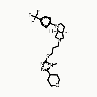 Cn1c(SCCCN2C[C@H]3N(c4ccc(C(F)(F)F)cc4)CC[C@@]3(C)C2)nnc1C1CCOCC1